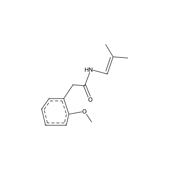 COc1ccccc1CC(=O)NC=C(C)C